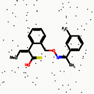 COC=C(C(O)=S)c1ccccc1CON=C(C)c1cccc(C(F)(F)F)c1